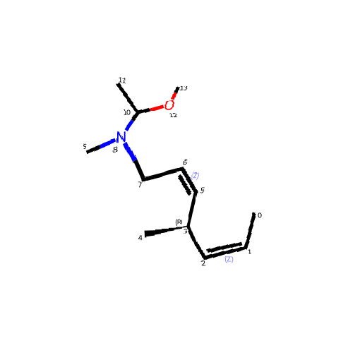 C/C=C\[C@@H](C)/C=C\CN(C)C(C)OC